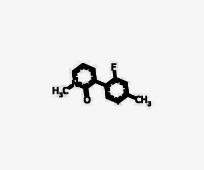 Cc1[c]cc(-c2cccn(C)c2=O)c(F)c1